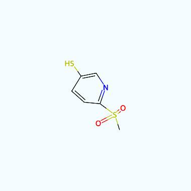 CS(=O)(=O)c1ccc(S)cn1